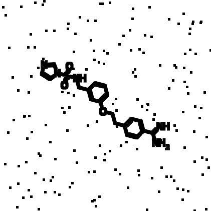 N=C(N)c1ccc(CCOc2cccc(CNS(=O)(=O)n3ccnc3)c2)cc1